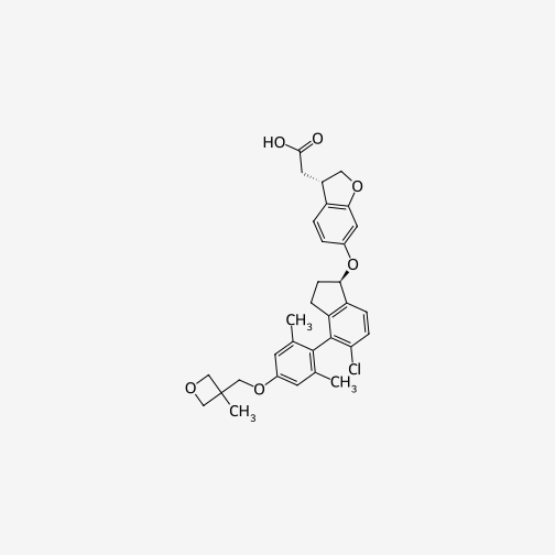 Cc1cc(OCC2(C)COC2)cc(C)c1-c1c(Cl)ccc2c1CC[C@H]2Oc1ccc2c(c1)OC[C@H]2CC(=O)O